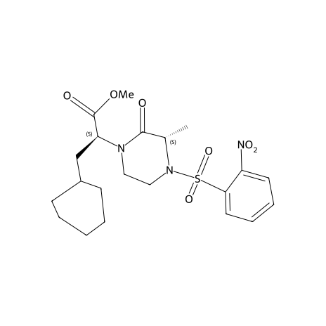 COC(=O)[C@H](CC1CCCCC1)N1CCN(S(=O)(=O)c2ccccc2[N+](=O)[O-])[C@@H](C)C1=O